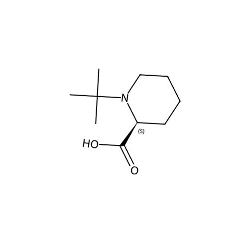 CC(C)(C)N1CCCC[C@H]1C(=O)O